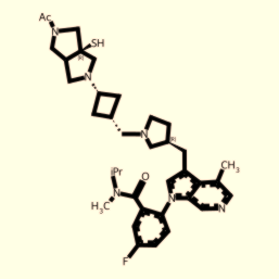 CC(=O)N1CC2CN([C@H]3C[C@@H](CN4CC[C@@H](Cc5cn(-c6ccc(F)cc6C(=O)N(C)C(C)C)c6cncc(C)c56)C4)C3)C[C@@]2(S)C1